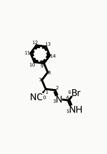 N#C[C@H](/C=N/C(=N)Br)CCc1ccccc1